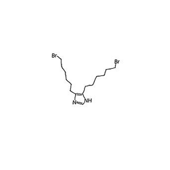 BrCCCCCCc1nc[nH]c1CCCCCCBr